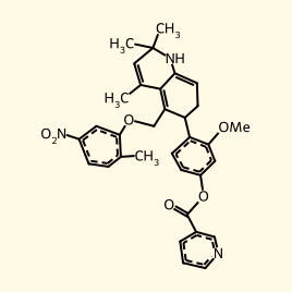 COc1cc(OC(=O)c2cccnc2)ccc1C1CC=C2NC(C)(C)C=C(C)C2=C1COc1cc([N+](=O)[O-])ccc1C